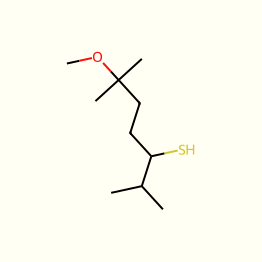 COC(C)(C)CCC(S)C(C)C